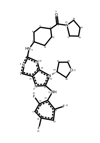 O=C(C1CCC(Nc2ncc3nc(Nc4c(F)cc(F)cc4F)n([C@@H]4CCOC4)c3n2)CC1)N1CCCC1